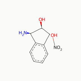 N[C@@H]1c2ccccc2C[C@@H]1O.O=[N+]([O-])O